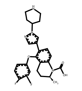 C[C@H]1CCc2c(ccc(-c3cnn(C4CCNCC4)c3)c2Oc2ccc(F)c(F)c2)N1C(=O)O